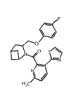 Cc1ccc(-c2nccs2)c(C(=O)N2C(COc3ccc(F)cc3)CC3CC2C3)n1